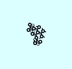 Cc1cc(C)cc(N(c2cc(C)cc(C)c2)c2cc(N(c3cc4c5c(c3)Oc3ccccc3B5c3ccccc3O4)c3ccccc3C)cc(N(c3ccc4c(c3)Sc3cccc5c3B4c3ccccc3O5)c3ccccc3C)c2)c1